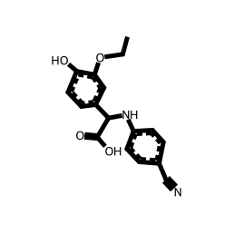 CCOc1cc(C(Nc2ccc(C#N)cc2)C(=O)O)ccc1O